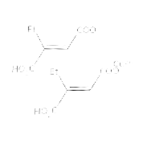 CC/C(=C\C(=O)[O-])C(=O)O.CC/C(=C\C(=O)[O-])C(=O)O.[Cu+2]